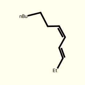 [CH2]CCCCC/C=C\C=C\CC